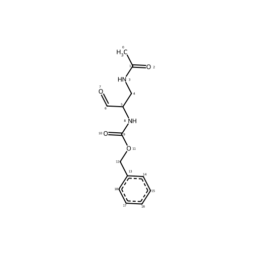 CC(=O)NCC(C=O)NC(=O)OCc1ccccc1